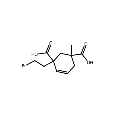 CC1(C(=O)O)CC=CC(CCBr)(C(=O)O)C1